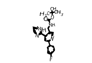 CC(C)(C)OC(=O)NCc1cnc(-c2ccc(F)cc2)cc1-c1ncc[nH]1